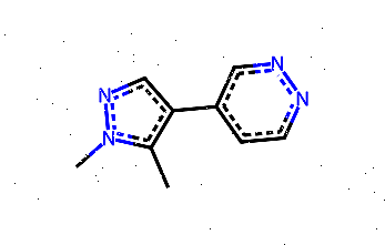 Cc1c(-c2ccnnc2)cnn1C